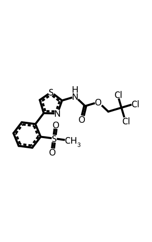 CS(=O)(=O)c1ccccc1-c1csc(NC(=O)OCC(Cl)(Cl)Cl)n1